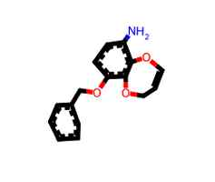 Nc1ccc(OCc2ccccc2)c2c1OC=CCO2